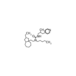 CCCCCN(CCC12CCCCCC1CC(CC)C2)C(=O)NCC(C)Cc1ccncc1